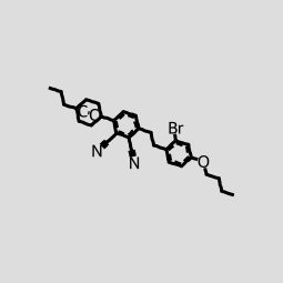 CCCCOc1ccc(CCc2ccc(C34CCC(CCC)(CC3)CC4)c(C#N)c2C#N)c(Br)c1